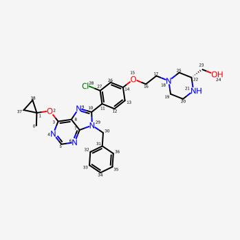 CC1(Oc2ncnc3c2nc(-c2ccc(OCCN4CCN[C@@H](CO)C4)cc2Cl)n3Cc2ccccc2)CC1